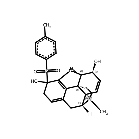 Cc1ccc(S(=O)(=O)C2(O)CC=C3C[C@@H]4[C@@H]5C=C[C@H](O)[C@@H]6OC2=C3[C@]56CCN4C)cc1